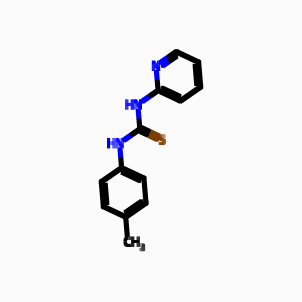 Cc1ccc(NC(=S)Nc2ccccn2)cc1